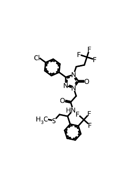 CSCC(NC(=O)Cn1nc(-c2ccc(Cl)cc2)n(CCC(F)(F)F)c1=O)c1ccccc1C(F)(F)F